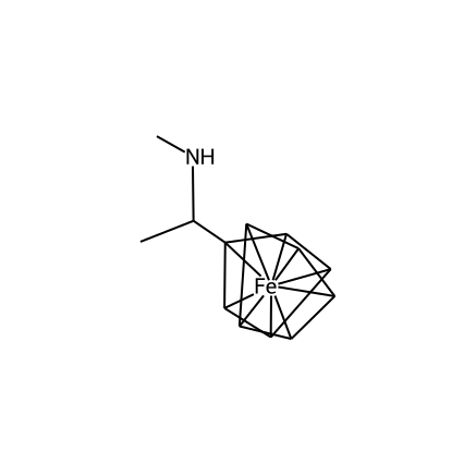 CNC(C)[C]12[CH]3[CH]4[CH]5[CH]1[Fe]45321678[CH]2[CH]1[CH]6[CH]7[CH]28